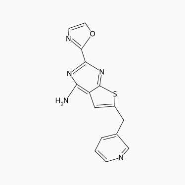 Nc1nc(-c2ncco2)nc2sc(Cc3cccnc3)cc12